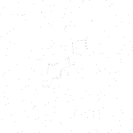 COc1cc(-c2oc3c(OC)cc(/C=C/C=O)cc3c2C=O)ccc1O